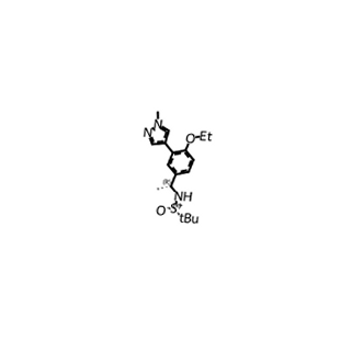 CCOc1ccc([C@@H](C)N[S@@+]([O-])C(C)(C)C)cc1-c1cnn(C)c1